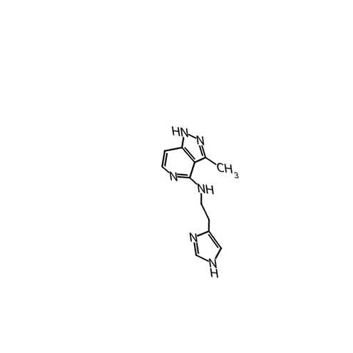 Cc1n[nH]c2ccnc(NCCc3c[nH]cn3)c12